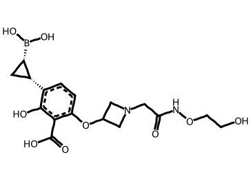 O=C(CN1CC(Oc2ccc([C@@H]3C[C@@H]3B(O)O)c(O)c2C(=O)O)C1)NOCCO